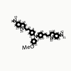 COc1ccc(N(c2ccc(/C=C/c3ccc4cc(N(C)C)ccc4[n+]3C)cc2)c2ccc(/C=C/c3ccc4cc(N(C)C)ccc4[n+]3C)cc2)cc1